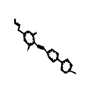 C/C=C/Cc1cc(F)c(C#Cc2ccc(-c3ccc(C)cc3)cc2)c(F)c1